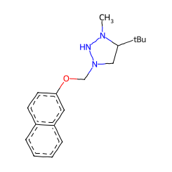 CN1NN(COc2ccc3ccccc3c2)CC1C(C)(C)C